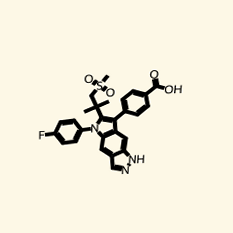 CC(C)(CS(C)(=O)=O)c1c(-c2ccc(C(=O)O)cc2)c2cc3[nH]ncc3cc2n1-c1ccc(F)cc1